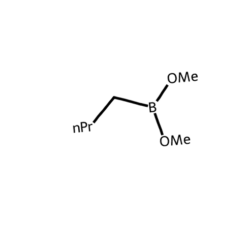 CCCCB(OC)OC